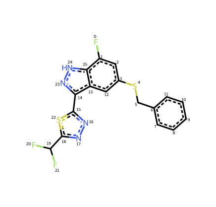 Fc1cc(SCc2ccccc2)cc2c(-c3nnc(C(F)F)s3)n[nH]c12